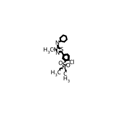 CCN(CC)S(=O)(=O)c1cc(-c2nn(C)c(=NC3CCCCC3)s2)ccc1Cl